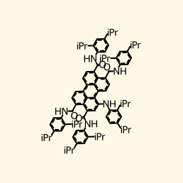 CC(C)c1ccc(NC(=O)c2ccc3c4ccc(C(=O)Nc5ccc(C(C)C)cc5C(C)C)c5c(C(=O)Nc6ccc(C(C)C)cc6C(C)C)cc(Nc6ccc(C(C)C)cc6C(C)C)c(c6ccc(C(=O)Nc7ccc(C(C)C)cc7C(C)C)c2c36)c54)c(C(C)C)c1